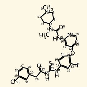 CN1CCC(N(C)C(=O)Nc2cc(Oc3ccc(NC(=S)NC(=O)Cc4cccc(Cl)c4)cc3F)ncn2)CC1